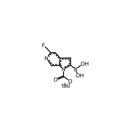 CC(C)(C)OC(=O)n1c(B(O)O)cc2cc(F)ncc21